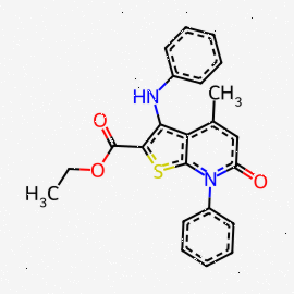 CCOC(=O)c1sc2c(c(C)cc(=O)n2-c2ccccc2)c1Nc1ccccc1